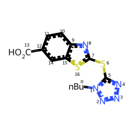 CCCCn1nnnc1Sc1nc2ccc(C(=O)O)cc2s1